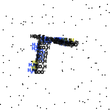 CC(C)C[C@H](N)C(=O)O.CC(C)C[C@H](N)C(=O)O.C[C@H](N)C(=O)O.C[C@H](N)C(=O)O.C[C@H](N)C(=O)O.C[C@H](N)C(=O)O.NCC(=O)O.NCC(=O)O.NCC(=O)O.NCC(=O)O.NCC(=O)O.NCC(=O)O.NCC(=O)O.NCC(=O)O.N[C@@H](CS)C(=O)O.N[C@@H](CS)C(=O)O.N[C@@H](CS)C(=O)[O-].N[C@@H](CS)C(=O)[O-].[Cu+2]